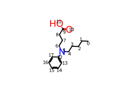 CCCCCN(CCCC(=O)O)c1ccccc1